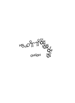 CCc1cc(Nc2nccn3c(-c4ccc(Oc5ncccn5)c(F)c4F)cnc23)ccc1C(=O)NCCCNC(=O)C1CCN(CC2CCNC2)CC1.O=CO